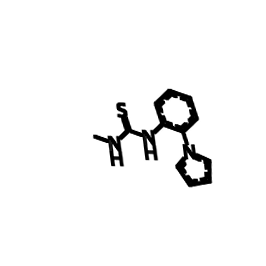 CNC(=S)Nc1ccccc1-n1cccc1